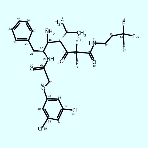 CC(C)[C@H](C(=O)C(F)(F)C(=O)NCCC(F)(F)F)C(N)[C@H](Cc1ccccc1)NC(=O)COc1cc(Cl)cc(Cl)c1